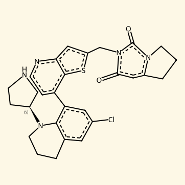 O=c1cc2n(c(=O)n1Cc1cc3nccc(-c4cc(Cl)cc5c4N([C@H]4CCNC4)CCC5)c3s1)CCC2